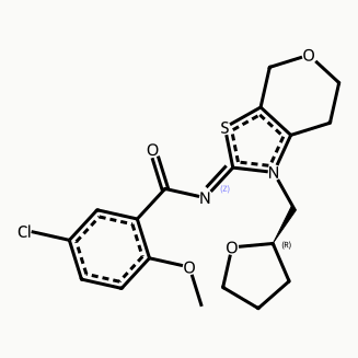 COc1ccc(Cl)cc1C(=O)/N=c1\sc2c(n1C[C@H]1CCCO1)CCOC2